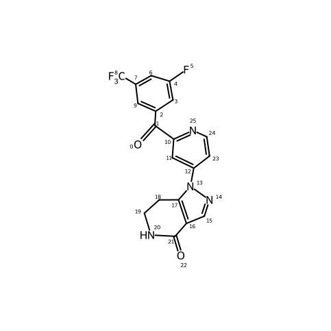 O=C(c1cc(F)cc(C(F)(F)F)c1)c1cc(-n2ncc3c2CCNC3=O)ccn1